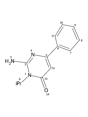 CC(C)n1c(N)nc(-c2ccccc2)cc1=O